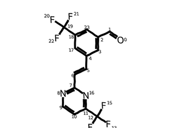 O=Cc1cc(/C=C/c2nccc(C(F)(F)F)n2)cc(C(F)(F)F)c1